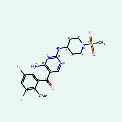 COc1c(F)cc(F)cc1C(=O)c1cnc(NC2CCN(S(C)(=O)=O)CC2)nc1N